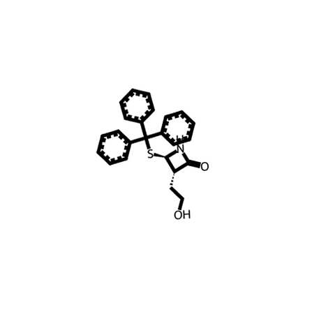 O=C1N[C@H](SC(c2ccccc2)(c2ccccc2)c2ccccc2)[C@H]1CCO